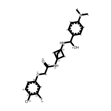 CN(C)c1ccc(C(O)NC23CC(NC(=O)COc4ccc(Cl)c(F)c4)(C2)C3)cc1